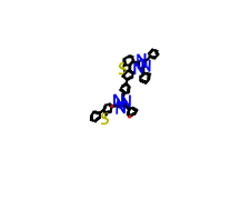 c1ccc(-c2nc(-c3ccc(-c4ccc5c(c4)sc4cccc(-c6nc(-c7ccccc7)nc(-c7ccccc7)n6)c45)cc3)nc(-c3ccc4c(c3)sc3ccccc34)n2)cc1